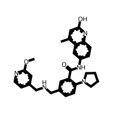 COc1cc(CNCc2ccc(N3CCCC3)c(C(=O)Nc3ccc4nc(O)cc(C)c4c3)c2)ccn1